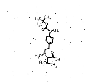 C=C(C)[C@@H](C(=O)O)N(C)CCc1ccc(N(C)C(=O)OC(C)(C)C)cc1